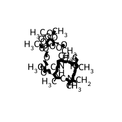 C=Cc1c(C)c2cc3nc(c(C)c4cc(C)c(cc5nc(cc1[nH]2)C(C)=C5CC)[nH]4)[C@@H](CCC(=O)N(C)CCOCCO[C@@H]1O[C@H](COC(C)=O)[C@@H](OC(C)=O)[C@H](OC(C)=O)[C@H]1OC(C)=O)[C@@H]3C